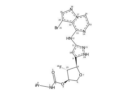 CC(C)NC(=O)O[C@@H]1CO[C@H](c2cc(Nc3nccn4ncc(Br)c34)n[nH]2)[C@H]1F